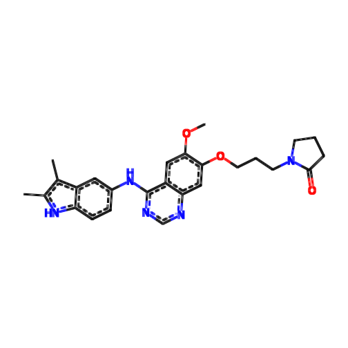 COc1cc2c(Nc3ccc4[nH]c(C)c(C)c4c3)ncnc2cc1OCCCN1CCCC1=O